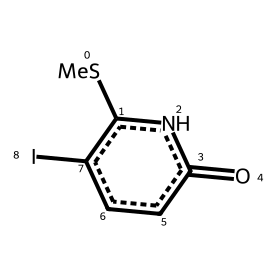 CSc1[nH]c(=O)ccc1I